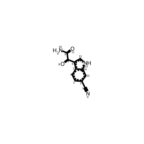 N#Cc1ccc2c(C(=O)C(N)=O)c[nH]c2c1